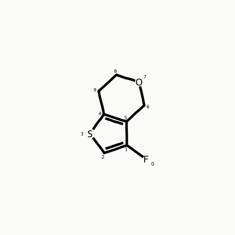 Fc1csc2c1COCC2